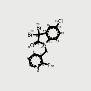 O=C1N(Cc2cccnc2F)c2ccc(Cl)cc2C1(Br)Br